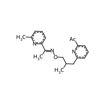 CC(=O)c1cccc(CC(C)CO/N=C(\C)c2cccc(C)n2)n1